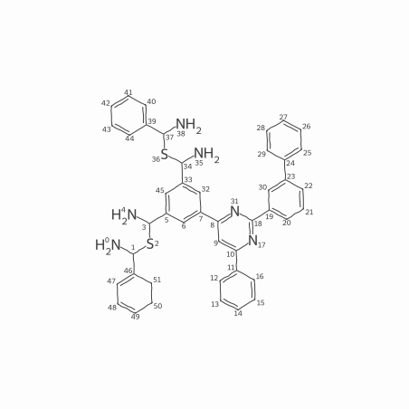 NC(SC(N)c1cc(-c2cc(-c3ccccc3)nc(-c3cccc(-c4ccccc4)c3)n2)cc(C(N)SC(N)c2ccccc2)c1)C1=CC=CCC1